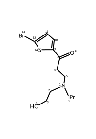 CC(C)N(CCO)CCC(=O)c1ccc(Br)s1